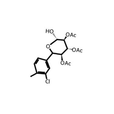 CC(=O)O[C@H]1[C@H](OC(C)=O)[C@@H](OC(C)=O)C(c2ccc(C)c(Cl)c2)O[C@@H]1O